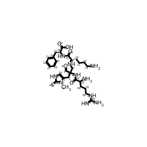 Cn1c(CC(C=O)(CN[C@@H](CCCCN)C(=O)N[C@@H](Cc2ccccc2)C(=O)O)NC(=O)C(N)CCCNC(=N)N)c[nH]c1=S